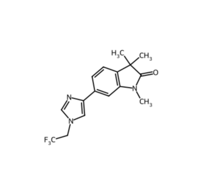 CN1C(=O)C(C)(C)c2ccc(-c3cn(CC(F)(F)F)cn3)cc21